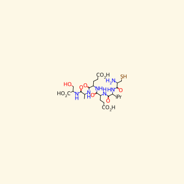 CC(NC(=O)C(CCC(=O)O)NC(=O)C(CCC(=O)O)NC(=O)C(NC(=O)C(N)CS)C(C)C)C(=O)NC(CO)C(=O)O